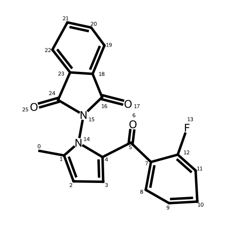 Cc1ccc(C(=O)c2ccccc2F)n1N1C(=O)c2ccccc2C1=O